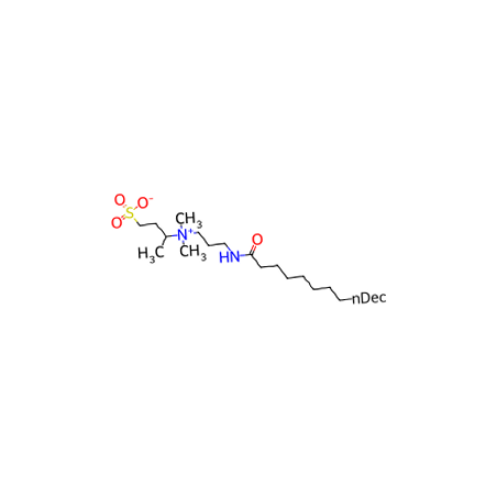 CCCCCCCCCCCCCCCCCC(=O)NCCC[N+](C)(C)C(C)CCS(=O)(=O)[O-]